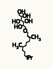 CC(=CCOC[C@@H](O)[C@@H](O)[C@H](O)[C@H](O)CO)CCCC(C)CCCC(C)C